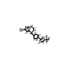 Cn1cc(C(F)(F)F)nc1-c1ccc(CN2CCCn3nc(Br)cc32)cc1